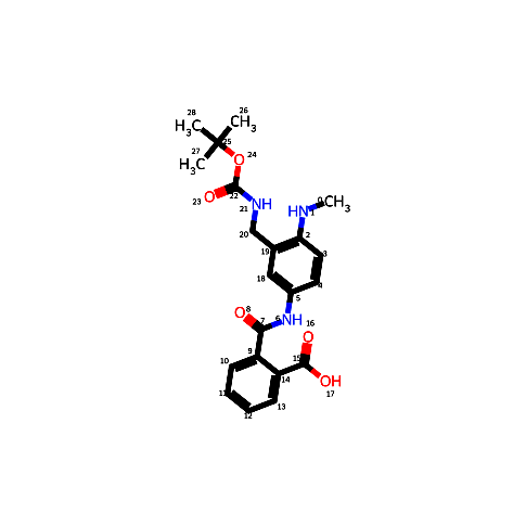 CNc1ccc(NC(=O)c2ccccc2C(=O)O)cc1CNC(=O)OC(C)(C)C